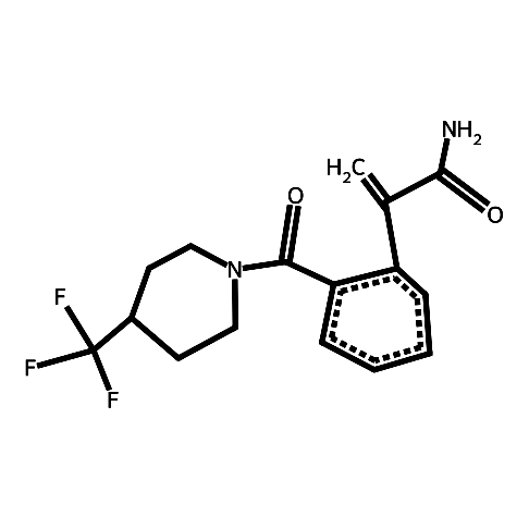 C=C(C(N)=O)c1ccccc1C(=O)N1CCC(C(F)(F)F)CC1